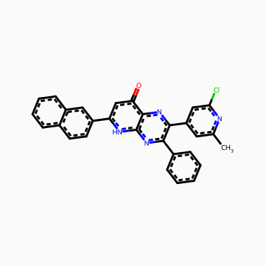 Cc1cc(-c2nc3c(=O)cc(-c4ccc5ccccc5c4)[nH]c3nc2-c2ccccc2)cc(Cl)n1